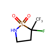 O=S1(=O)NCCC1(F)C(F)(F)F